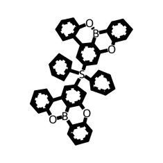 c1ccc(S(c2ccccc2)(c2cc3c4c(c2)-c2ccccc2OB4c2ccccc2O3)c2cc3c4c(c2)-c2ccccc2OB4c2ccccc2O3)cc1